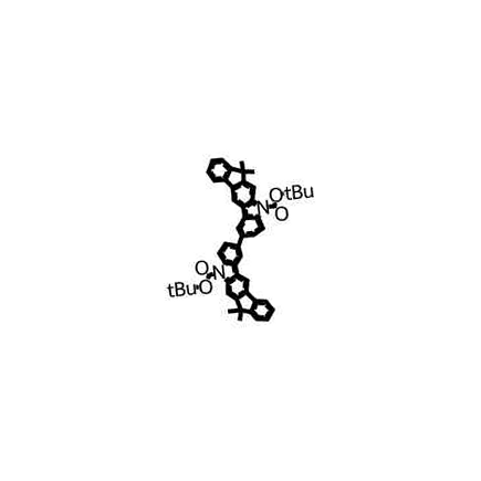 CC(C)(C)OC(=O)n1c2ccc(-c3ccc4c(c3)c3cc5c(cc3n4C(=O)OC(C)(C)C)C(C)(C)c3ccccc3-5)cc2c2cc3c(cc21)C(C)(C)c1ccccc1-3